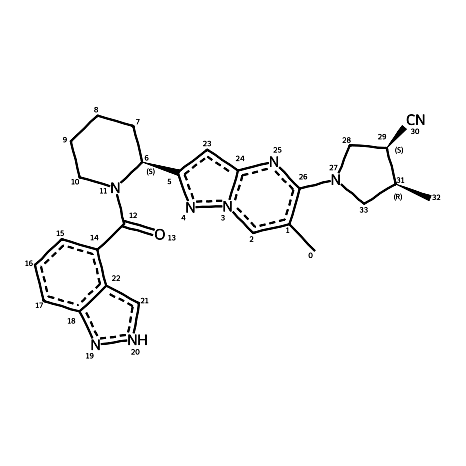 Cc1cn2nc([C@@H]3CCCCN3C(=O)c3cccc4n[nH]cc34)cc2nc1N1C[C@@H](C#N)[C@@H](C)C1